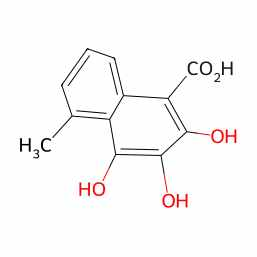 Cc1cccc2c(C(=O)O)c(O)c(O)c(O)c12